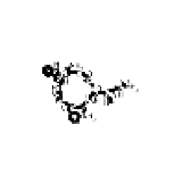 CC(=O)N[C@@H](CCCNC(=N)N)C(=O)NC1CCNC(=O)CCCC(C(N)=O)NC(=O)[C@H](Cc2c[nH]c3ccccc23)NC(=O)C(C)NC(=O)C(Cc2ccccc2)NC(=O)[C@H](CCN)NC1=O